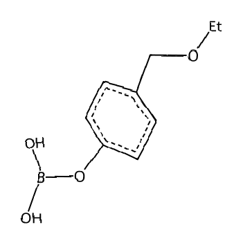 CCOCc1ccc(OB(O)O)cc1